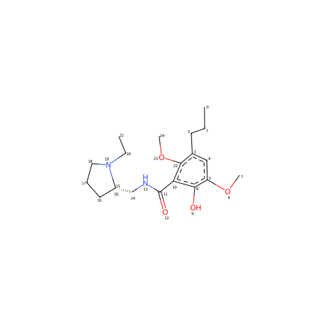 CCCc1cc(OC)c(O)c(C(=O)NC[C@@H]2CCCN2CC)c1OC